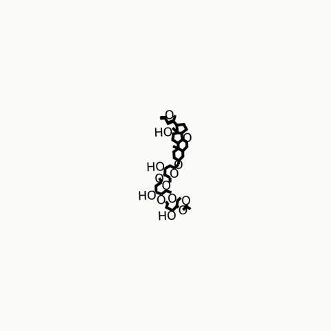 C=C1C=C(C2CCC34OC35CCC3CC(OC6CC(O)C(OC7CC(O)C(OC8CC(O)C(OC(C)=O)C(C)O8)C(C)O7)C(C)O6)CCC3(C)C5CC(O)C24C)CO1